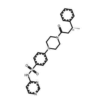 C[C@H](CC(=O)N1CCN(c2ccc(S(=O)(=O)Nc3ccncn3)cc2)CC1)c1ccccc1